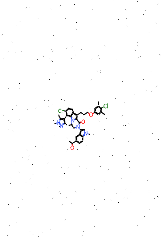 CC(=O)c1ccc2c(c1)c(N1CC(C)n3c(c(CCCOc4cc(C)c(Cl)c(C)c4)c4ccc(Cl)c(-c5c(C)nn(C)c5C)c43)C1=O)cn2C